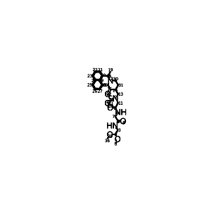 COC(CNC(=O)CNC(=O)CN(CC1CCN(C(C)c2cccc3ccccc23)CC1)[SH](=O)=O)OC